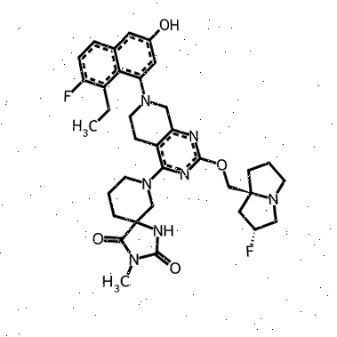 CCc1c(F)ccc2cc(O)cc(N3CCc4c(nc(OC[C@@]56CCCN5C[C@H](F)C6)nc4N4CCCC5(C4)NC(=O)N(C)C5=O)C3)c12